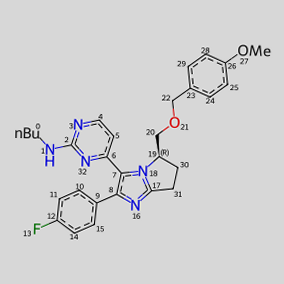 CCCCNc1nccc(-c2c(-c3ccc(F)cc3)nc3n2[C@@H](COCc2ccc(OC)cc2)CC3)n1